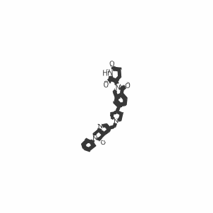 O=C1CCC(N2Cc3cc(C4CCN(Cc5cnc6c(c5)C(=O)N(c5ccccc5)C6)CC4)ccc3C2=O)C(=O)N1